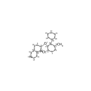 Cc1ccc(Cl)c(Oc2ccc3cnccc3n2)c1-c1ccccc1